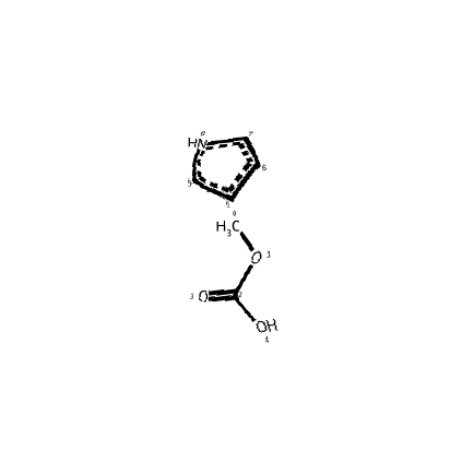 COC(=O)O.c1cc[nH]c1